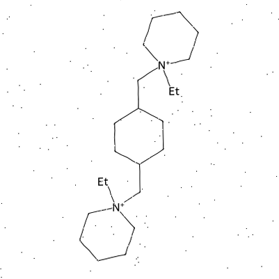 CC[N+]1(CC2CCC(C[N+]3(CC)CCCCC3)CC2)CCCCC1